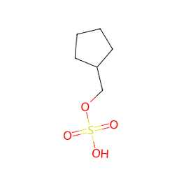 O=S(=O)(O)OCC1CCCC1